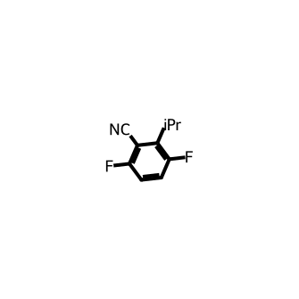 CC(C)c1c(F)ccc(F)c1C#N